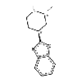 C[C@@H]1C[C@@H](c2nc3ccccc3o2)CCN1